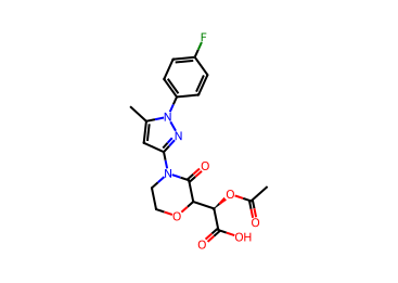 CC(=O)O[C@@H](C(=O)O)C1OCCN(c2cc(C)n(-c3ccc(F)cc3)n2)C1=O